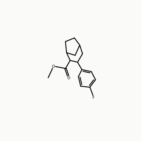 COC(=O)C1C2CCC(C2)CC1c1ccc(F)cc1